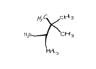 CC(C)(C)C(N)P